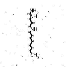 [CH2]CCCCCCCNCCCNCN